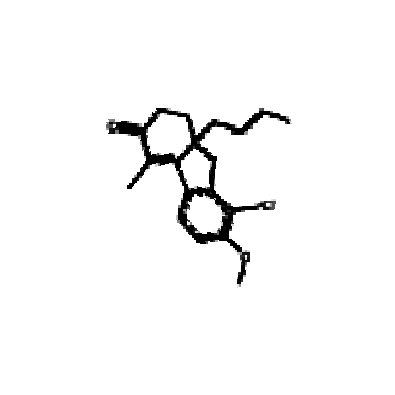 CCCCC12CCC(=O)C(C)=C1c1ccc(OC)c(Cl)c1C2